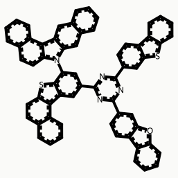 c1ccc2cc3c(cc2c1)c1c2ccccc2ccc1n3-c1cc(-c2nc(-c3ccc4c(c3)oc3ccccc34)nc(-c3ccc4c(c3)sc3ccccc34)n2)cc2c1sc1ccc3ccccc3c12